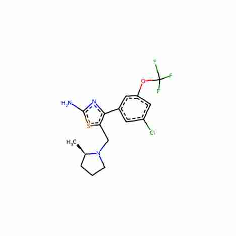 C[C@@H]1CCCN1Cc1sc(N)nc1-c1cc(Cl)cc(OC(F)(F)F)c1